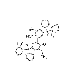 CCc1cc(C(CC)(c2ccccc2)c2ccccc2)cc(-c2cc(C(C)(c3ccccc3)c3ccccc3)cc(C)c2O)c1O